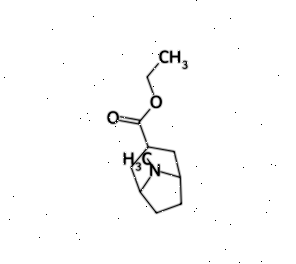 CCOC(=O)C1CC2CCC(C1)N2C